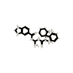 CC(OC(=O)c1ccc2c(c1)OCO2)OC(=O)N(C)[C@]1(c2ccccc2Cl)CCCCC1=O